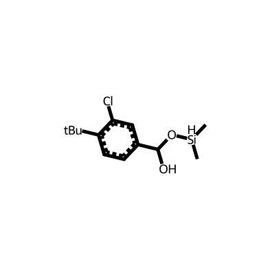 C[SiH](C)OC(O)c1ccc(C(C)(C)C)c(Cl)c1